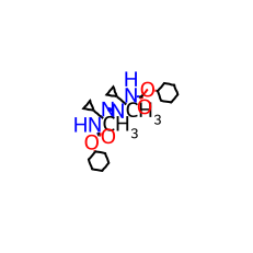 CC(N=NC(C)(NC(=O)OC1CCCCC1)C1CC1)(NC(=O)OC1CCCCC1)C1CC1